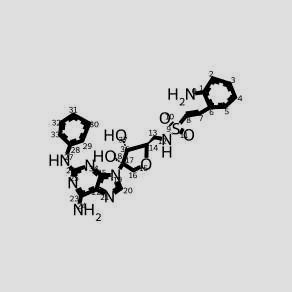 Nc1ccccc1/C=C/S(=O)(=O)NC[C@H]1OC[C@@](O)(n2cnc3c(N)nc(Nc4ccccc4)nc32)[C@@H]1O